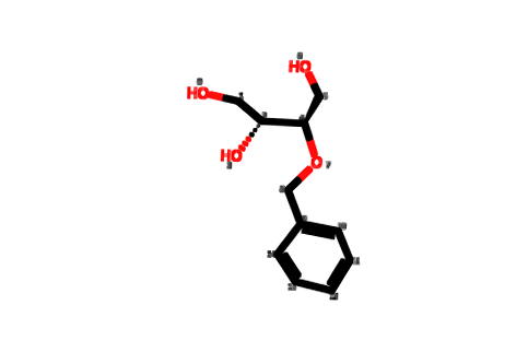 OC[C@@H](O)[C@@H](CO)OCc1ccccc1